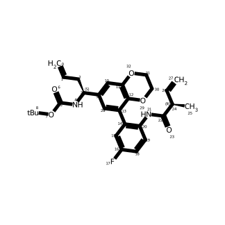 C=CC[C@H](NC(=O)OC(C)(C)C)c1cc2c(c(-c3cc(F)ccc3NC(=O)[C@H](C)C=C)c1)OCCO2